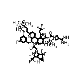 CC(C)(CCc1ccc(-c2ccc(Cl)c3c(N(C(=O)N4CC(C(=N)N)C4)S(C)(=O)=O)nn(CC(F)(F)F)c23)c([C@H](Cc2cc(F)cc(F)c2)NC(=O)Cn2nc(C(F)(F)F)c3c2C(F)(F)C2C[C@H]32)n1)S(C)(=O)=O